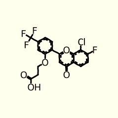 O=C(O)CCOc1cc(C(F)(F)F)ccc1-c1cc(=O)c2ccc(F)c(Cl)c2o1